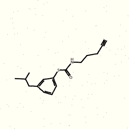 C#CCCCNC(=O)Sc1cccc(CC(C)C)c1